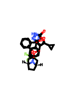 O=c1[nH]nc(-c2ccc(N3[C@@H]4CC[C@H]3CC(OCc3c(-c5ccccc5OC(F)(F)F)noc3C3CC3)C4)cc2)o1